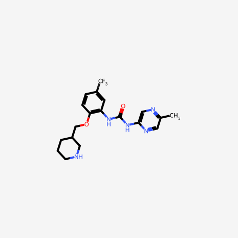 Cc1cnc(NC(=O)Nc2cc(C(F)(F)F)ccc2OCC2CCCNC2)cn1